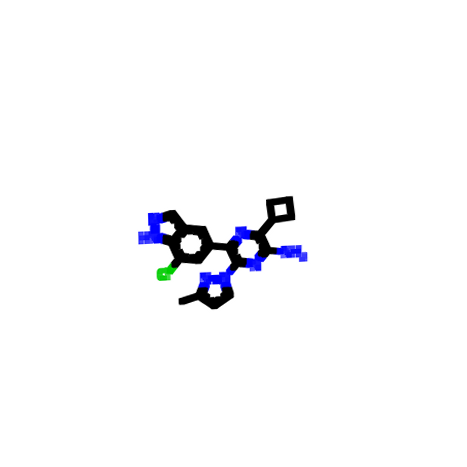 Cc1ccn(-c2nc(N)c(C3CCC3)nc2-c2cc(Cl)c3[nH]ncc3c2)n1